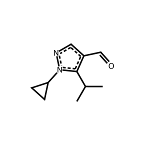 CC(C)c1c(C=O)cnn1C1CC1